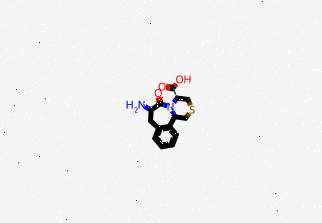 NC1Cc2ccccc2C2CSC[C@@H](C(=O)O)N2C1=O